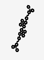 C(=C\c1ccc2c(c1)c1ccccc1n2-c1ccccc1)/c1ccc(-c2ccc3c(c2)C2(c4ccccc4-c4ccccc42)c2cc(-c4ccc5c(c4)C4(c6ccccc6-c6ccccc64)c4cc(-c6ccc(/C=C/c7ccc8c(c7)c7ccccc7n8-c7ccccc7)cc6)ccc4-5)ccc2-3)cc1